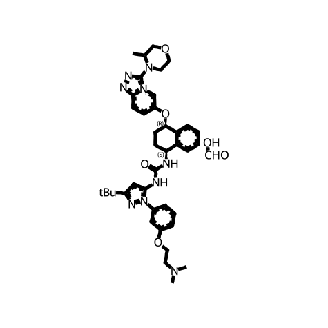 CC1COCCN1c1nnc2ccc(O[C@@H]3CC[C@H](NC(=O)Nc4cc(C(C)(C)C)nn4-c4cccc(OCCN(C)C)c4)c4ccccc43)cn12.O=CO